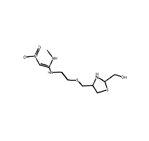 CNC(=C[N+](=O)[O-])NCCSCC1CSC(CO)N1